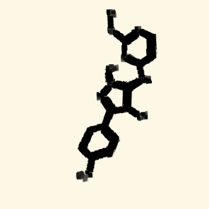 CCOc1nccc(Nc2c(C#N)c(-c3ccc([N+](=O)[O-])cc3)nn2C(C)(C)C)n1